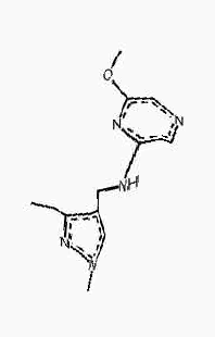 COc1cncc(NCc2cn(C)nc2C)n1